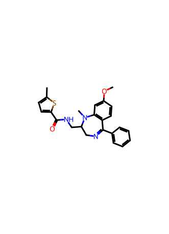 COc1ccc2c(c1)N(C)C(CNC(=O)c1ccc(C)s1)CN=C2c1ccccc1